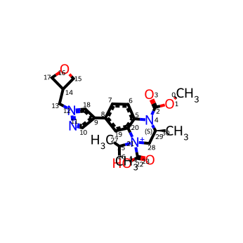 COC(=O)N1c2ccc(-c3cnn(CC4COC4)c3)cc2[N+](C(=O)O)(C(C)C)C[C@@H]1C